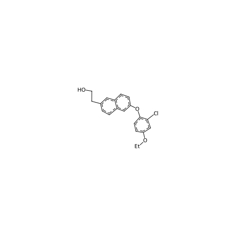 CCOc1ccc(Oc2ccc3cc(CCO)ccc3c2)c(Cl)c1